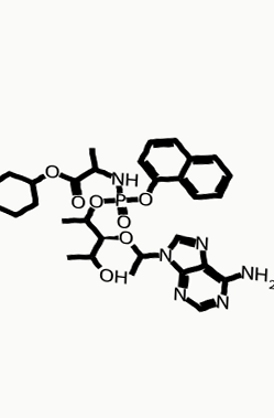 CC(NP(=O)(Oc1cccc2ccccc12)OC(C)[C@@H](OC(C)n1cnc2c(N)ncnc21)C(C)O)C(=O)OC1CCCCC1